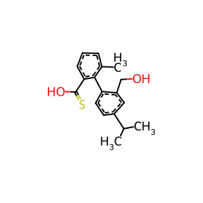 Cc1cccc(C(O)=S)c1-c1ccc(C(C)C)cc1CO